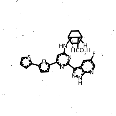 O=C(O)[C@H]1C2CCC(CC2)[C@@H]1Nc1cc(-c2ccc(-c3cccs3)o2)nc(-c2n[nH]c3ncc(F)cc23)n1